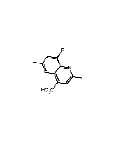 Cc1cc(F)c2nc(C)cc(C(=O)O)c2c1